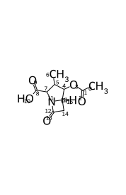 CC(=O)OC1C(C)C(C(=O)O)N2C(=O)C[C@@H]12